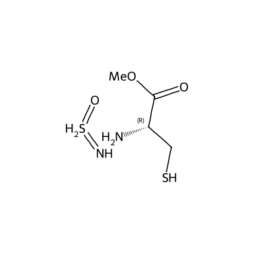 COC(=O)[C@@H](N)CS.N=[SH2]=O